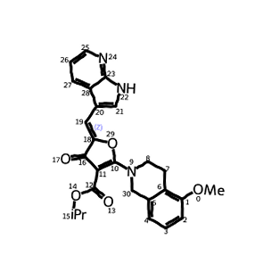 COc1cccc2c1CCN(C1=C(C(=O)OC(C)C)C(=O)/C(=C/c3c[nH]c4ncccc34)O1)C2